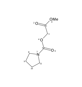 COC(=O)COC(=O)N1CCCC1